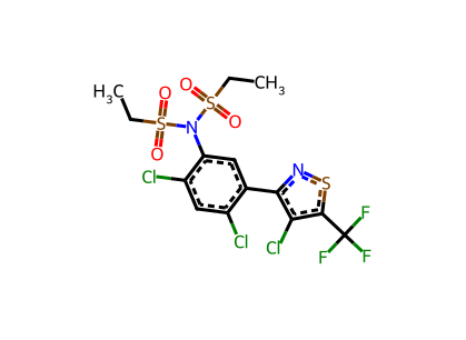 CCS(=O)(=O)N(c1cc(-c2nsc(C(F)(F)F)c2Cl)c(Cl)cc1Cl)S(=O)(=O)CC